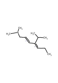 CC/C=C(/C=C/CN(C)C)C(C)C